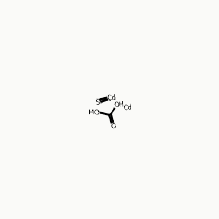 O=C(O)O.[Cd].[S]=[Cd]